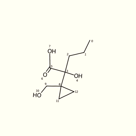 CCCC(O)(C(=O)O)C1(CO)CC1